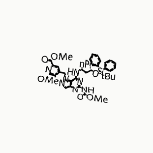 CCC[C@@H](CCO[Si](c1ccccc1)(c1ccccc1)C(C)(C)C)Nc1nc(NC(=O)OC)nc2cnn(Cc3cc(C(=O)OC)ncc3OC)c12